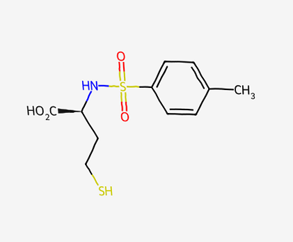 Cc1ccc(S(=O)(=O)N[C@@H](CCS)C(=O)O)cc1